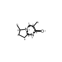 Cc1cn2c(nc1=O)CCC2C